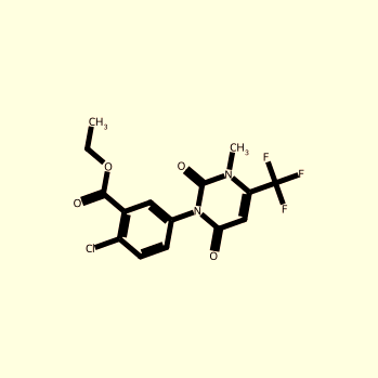 CCOC(=O)c1cc(-n2c(=O)cc(C(F)(F)F)n(C)c2=O)ccc1Cl